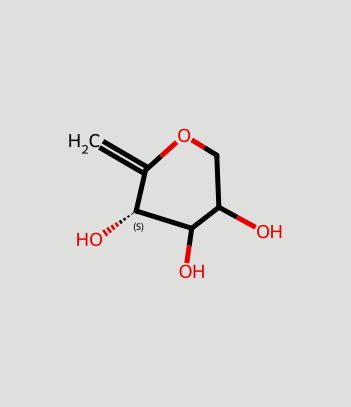 C=C1OCC(O)C(O)[C@@H]1O